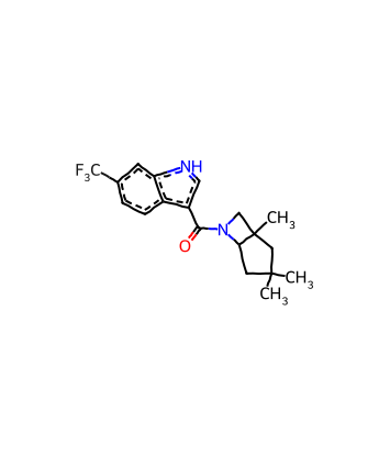 CC1(C)CC2N(C(=O)c3c[nH]c4cc(C(F)(F)F)ccc34)CC2(C)C1